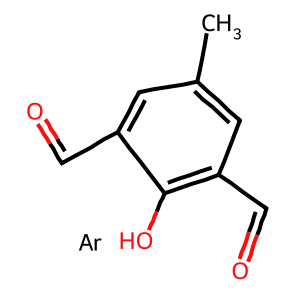 Cc1cc(C=O)c(O)c(C=O)c1.[Ar]